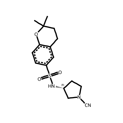 CC1(C)CCc2cc(S(=O)(=O)N[C@@H]3CCN(C#N)C3)ccc2O1